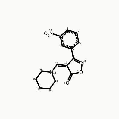 O=C1ON=C(c2cccc([N+](=O)[O-])c2)C1=CN1CCCCC1